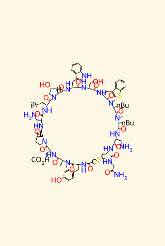 CCCC[C@H]1C(=O)N(C)[C@@H](CCCC)C(=O)N[C@@H](CN)C(=O)N[C@H](C(=O)NCC(N)=O)CSCC(=O)N[C@@H](Cc2ccc(O)cc2)C(=O)N(C)[C@@H](C)C(=O)N[C@@H](CC(=O)O)C(=O)N2CCC[C@H]2C(=O)N[C@@H](CN)C(=O)N[C@@H](CC(C)C)C(=O)N2C[C@H](O)C[C@H]2C(=O)N[C@@H](Cc2c[nH]c3ccccc23)C(=O)N[C@@H](CO)C(=O)N[C@@H](Cc2csc3ccccc23)C(=O)N1C